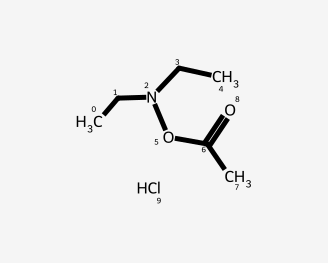 CCN(CC)OC(C)=O.Cl